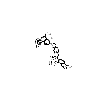 CC1=CS(=O)(=O)c2ccc(N3CCC4(CCN(CC(O)c5ccc6c(c5C)COC6=O)CC4)C3)cc21